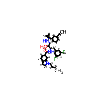 C#Cc1cccc(C2(NC[C@H](O)[C@H](Cc3cc(F)cc(F)c3)NC(=O)c3ccc4ccn(CCCC)c4c3)CC2)c1